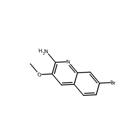 COc1cc2ccc(Br)cc2nc1N